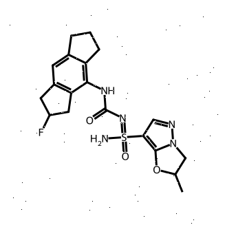 CC1Cn2ncc(S(N)(=O)=NC(=O)Nc3c4c(cc5c3CC(F)C5)CCC4)c2O1